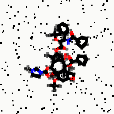 CC[Si](CC)(CC)O[C@H]1CC2OC[C@@]2(OC(C)=O)[C@H]2[C@H](OC(=O)c3ccccc3)[C@]3(O)C[C@H](OC(=O)[C@H](O[Si](C)(C)C(C)(C)C)[C@@H](NC(=O)c4ccccc4)c4ccccc4)C(C)=C([C@@H](OC(=O)n4cc[n+](C)c4)C(=O)C12C)C3(C)C